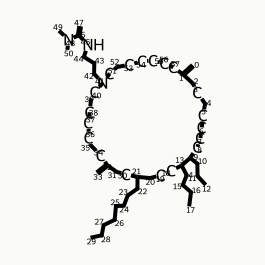 C=C1CCCCCCCC(CCC)C(CCCC)CCCC(CCCCCCCC)CCC(=C)CCCCCCCN(CCCNC(=C)N(C)C)CCCCCCC1